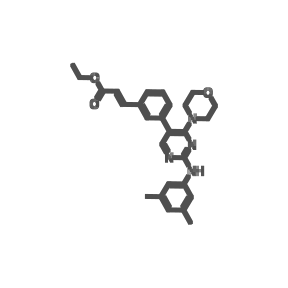 CCOC(=O)/C=C/c1cccc(-c2cnc(Nc3cc(C)cc(C)c3)nc2N2CCOCC2)c1